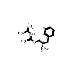 C=C(N)NC(=C)OC[C@@H](Cc1ccccc1)NC